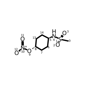 CS(=O)(=O)N[C@H]1CC[C@H](O[N+](=O)[O-])CC1